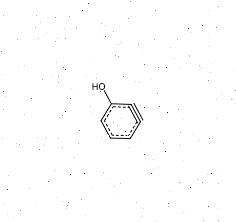 Oc1c#cccc1